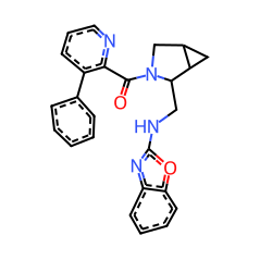 O=C(c1ncccc1-c1ccccc1)N1CC2CC2C1CNc1nc2ccccc2o1